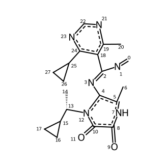 C=N/C(=N\c1c(C)[nH]c(=O)c(=O)n1[C@@H](C)C1CC1)c1c(C)ncnc1C1CC1